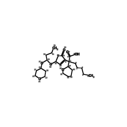 CCCCCC(C(=O)O)(C1=CC(OC(CCC)OC2CCOCC2)CC1=O)C1CCCCO1